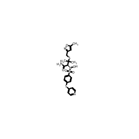 Cc1cc(CSC(C)(C)[C@H](C(N)=O)N(O)S(=O)(=O)c2ccc(Sc3ccncc3)cc2)no1